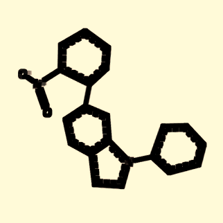 O=[N+]([O-])c1ccccc1-c1ccc2ccn(-c3ccccc3)c2c1